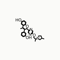 CC1=C(c2cccc(O)c2)C(c2cnc(OCC(C)N3CCC(C)C3)cn2)Oc2ccc(O)cc21